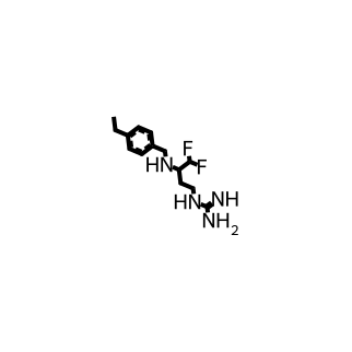 CCc1ccc(CNC(CCNC(=N)N)C(F)F)cc1